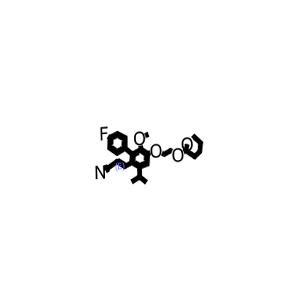 COc1c(OCCOC2CCCCO2)cc(C(C)C)c(/C=C/C#N)c1-c1ccc(F)cc1